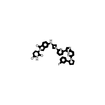 O=C1CCC(N2Cc3cc(NC4CN(c5cccc(-c6cnc7ccc(N8CCCC8c8cccc(F)c8)nn67)n5)C4)ccc3C2=O)C(=O)N1